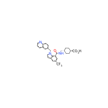 O=C(NC[C@H]1CC[C@H](C(=O)O)CC1)c1cc(C(F)(F)F)cc2ccn(Cc3ccc4ncccc4c3)c12